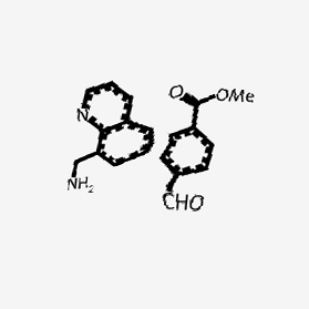 COC(=O)c1ccc(C=O)cc1.NCc1cccc2cccnc12